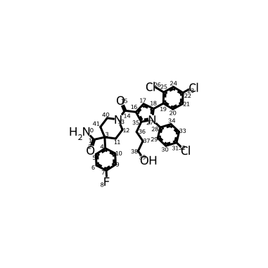 NC(=O)C1(c2ccc(F)cc2)CCN(C(=O)c2cc(-c3ccc(Cl)cc3Cl)n(-c3ccc(Cl)cc3)c2CCCO)CC1